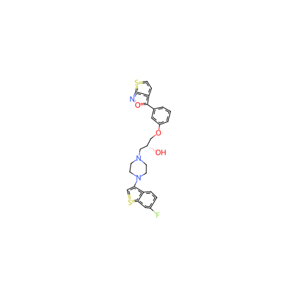 O[C@@H](COc1cccc(-c2onc3sccc23)c1)CN1CCN(c2csc3cc(F)ccc23)CC1